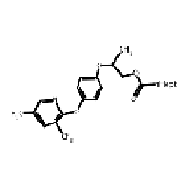 CCCCCCCC(=O)OCC(C)Oc1ccc(Oc2ncc(C(F)(F)F)cc2C(F)(F)F)cc1